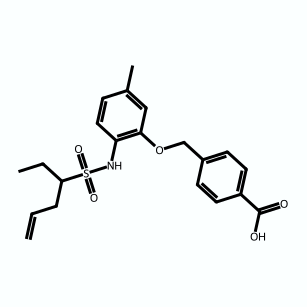 C=CCC(CC)S(=O)(=O)Nc1ccc(C)cc1OCc1ccc(C(=O)O)cc1